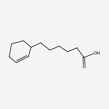 O=C(O)CCCCCC1C=CCCC1